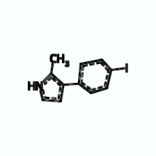 Cc1[nH]ccc1-c1ccc(I)cc1